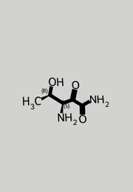 C[C@@H](O)[C@H](N)C(=O)C(N)=O